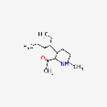 CCC[C@@H](CC)C1CCC(C)NC1C(C)=O